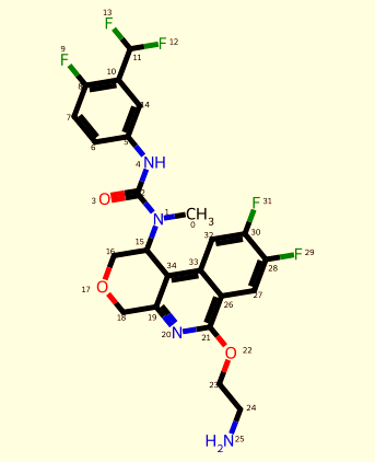 CN(C(=O)Nc1ccc(F)c(C(F)F)c1)C1COCc2nc(OCCN)c3cc(F)c(F)cc3c21